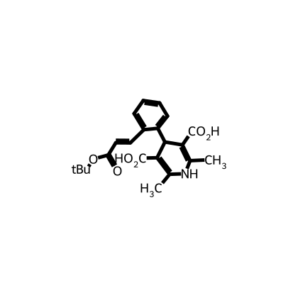 CC1=C(C(=O)O)C(c2ccccc2/C=C/C(=O)OC(C)(C)C)C(C(=O)O)=C(C)N1